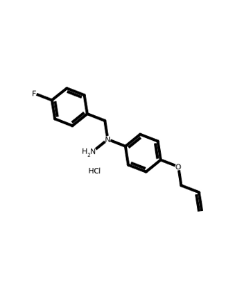 C=CCOc1ccc(N(N)Cc2ccc(F)cc2)cc1.Cl